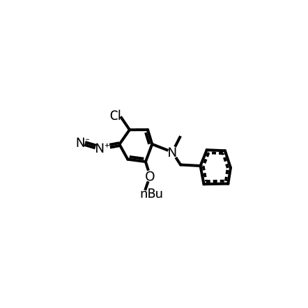 CCCCOC1=CC(=[N+]=[N-])C(Cl)C=C1N(C)Cc1ccccc1